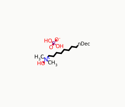 CCCCCCCCCCCCCCCCCC[N+](C)(C)O.O=P([O-])(O)O